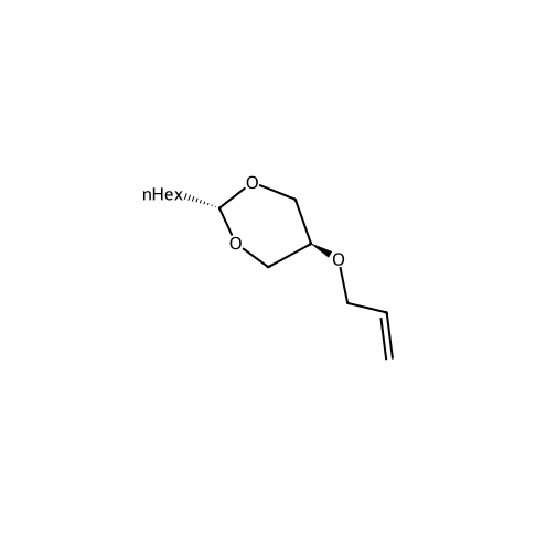 C=CCO[C@H]1CO[C@H](CCCCCC)OC1